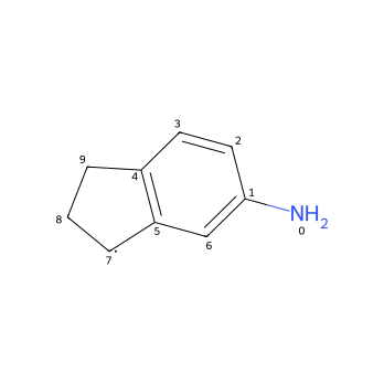 Nc1ccc2c(c1)[CH]CC2